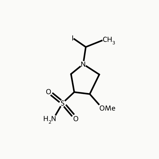 COC1CN(C(C)I)CC1S(N)(=O)=O